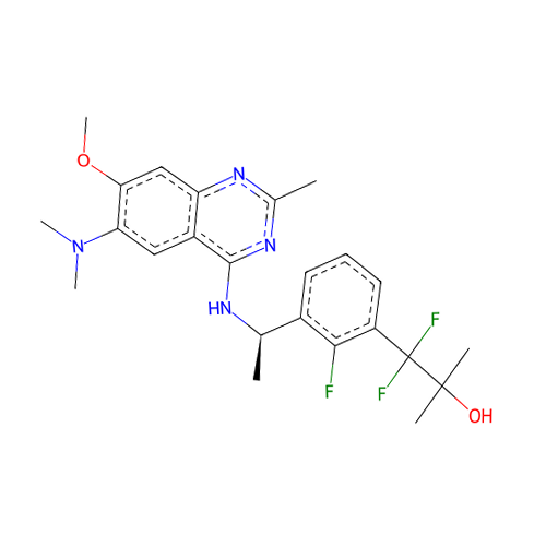 COc1cc2nc(C)nc(N[C@H](C)c3cccc(C(F)(F)C(C)(C)O)c3F)c2cc1N(C)C